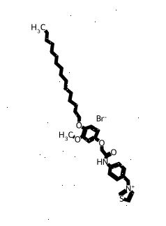 CCCCCCCCCCCCCCCCOc1ccc(OCC(=O)Nc2ccc(C[n+]3ccsc3)cc2)cc1OC.[Br-]